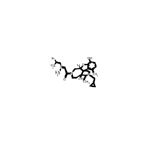 Cc1ccc(O)c2c1C13CCN(CC4CC4)C(C)C1(O)CCN(C(=O)CN(N)/C=C(\N)C(C)C)C[C@@H]3O2